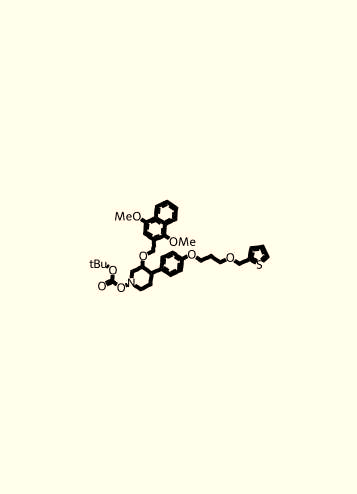 COc1cc(COC2CN(OC(=O)OC(C)(C)C)CCC2c2ccc(OCCCOCc3cccs3)cc2)c(OC)c2ccccc12